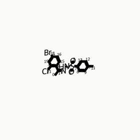 CC(=NNS(=O)(=O)c1ccc(C)cc1)c1ccc(Br)cc1Cl